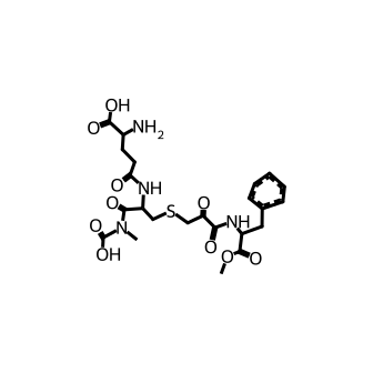 COC(=O)C(Cc1ccccc1)NC(=O)C(=O)CSCC(NC(=O)CCC(N)C(=O)O)C(=O)N(C)C(=O)O